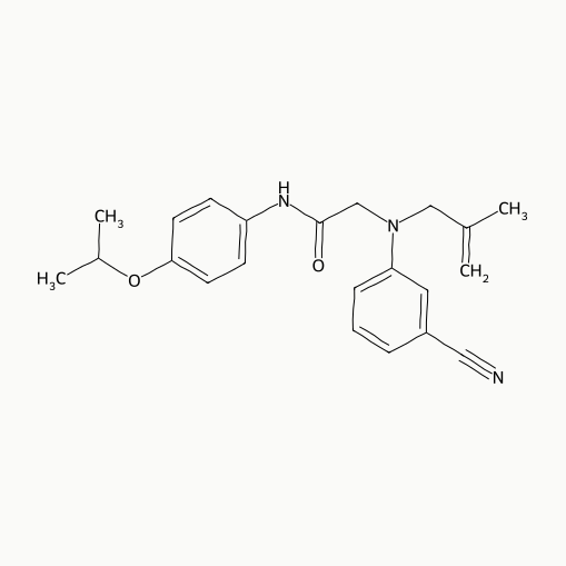 C=C(C)CN(CC(=O)Nc1ccc(OC(C)C)cc1)c1cccc(C#N)c1